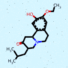 CCOc1cc2c(cc1O)C1CC(=O)C(CC(C)C)CN1CC2